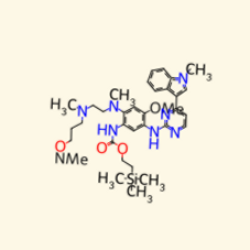 CNOCCCN(C)CCN(C)c1cc(OC)c(Nc2nccc(-c3cn(C)c4ccccc34)n2)cc1NC(=O)OCC[Si](C)(C)C